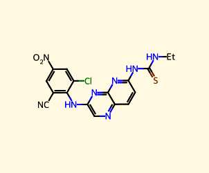 CCNC(=S)Nc1ccc2ncc(Nc3c(Cl)cc([N+](=O)[O-])cc3C#N)nc2n1